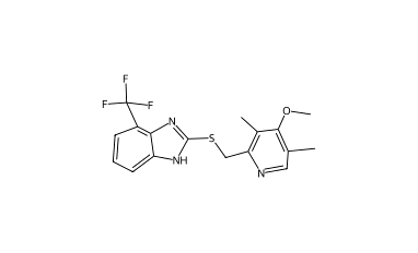 COc1c(C)cnc(CSc2nc3c(C(F)(F)F)cccc3[nH]2)c1C